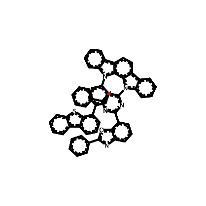 c1ccc(-c2nc(-c3cccc4nc(-c5ccccc5)oc34)nc(-n3c4ccccc4c4ccc5c6ccccc6n(-c6ccc(-c7cccc8c7sc7ccccc78)cc6)c5c43)n2)cc1